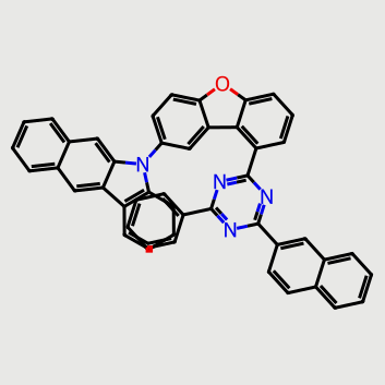 C1=Cc2c(n(-c3ccc4oc5cccc(-c6nc(-c7ccccc7)nc(-c7ccc8ccccc8c7)n6)c5c4c3)c3cc4ccccc4cc23)CC1